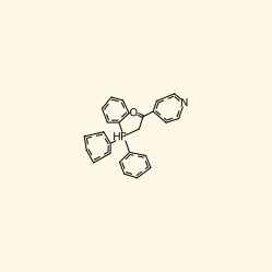 O=C(C[PH](c1ccccc1)(c1ccccc1)c1ccccc1)c1ccncc1